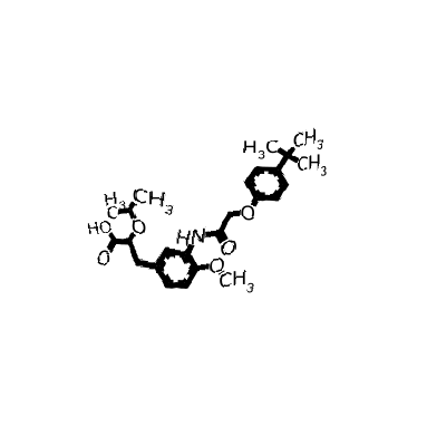 COc1ccc(CC(OC(C)C)C(=O)O)cc1NC(=O)COc1ccc(C(C)(C)C)cc1